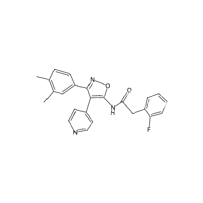 Cc1ccc(-c2noc(NC(=O)Cc3ccccc3F)c2-c2ccncc2)cc1C